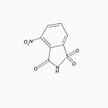 O=C1NS(=O)(=O)c2cccc([N+](=O)[O-])c21